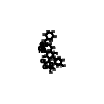 Cc1ccc(-c2c(C)c3c(c(C)c2[C@H](OC(C)(C)C)C(=O)O)NS(=O)(=O)N(CC2CCCCC2)CC3)cc1